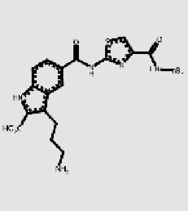 CCCCNC(=O)c1csc(NC(=O)c2ccc3[nH]c(C(=O)O)c(CCCN)c3c2)n1